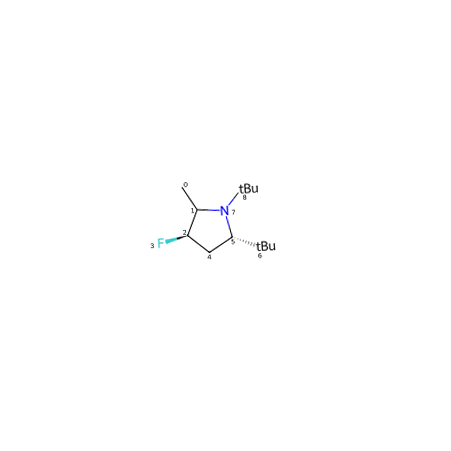 CC1[C@H](F)C[C@@H](C(C)(C)C)N1C(C)(C)C